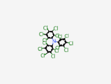 Clc1c(Cl)c(Cl)c(N(c2c(Cl)c(Cl)c(Cl)c(Cl)c2Cl)c2c(Cl)c(Cl)c(Cl)c(Cl)c2Cl)c(Cl)c1Cl